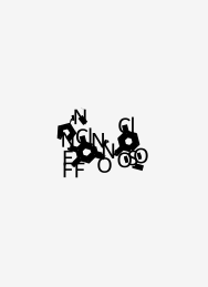 CCS(=O)(=O)c1ccc(Cl)cc1Cn1cnc2c(Cl)c(CN3CC[C@H](CN(C)C)C3)c(C(F)(F)F)cc2c1=O